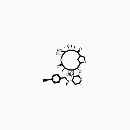 C#Cc1ccc(CN(C)[C@H]2C[C@@H](C)O[C@@H](O[C@@H]3[C@@H](C)[C@H](O)[C@@H](C)C(=O)O[C@H](CC)[C@@](C)(O)[C@H](O)[C@@H](C)C(=O)[C@@H]4CO[C@]3(C)C4)[C@H]2O)cc1